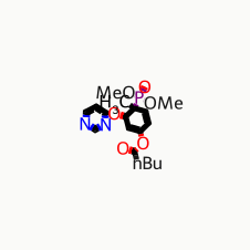 CCCCC(=O)OC1=CC(=O)C(C)(P(=O)(OC)OC)C=C1.c1cncnc1